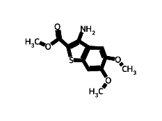 COC(=O)c1sc2cc(OC)c(OC)cc2c1N